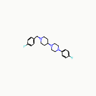 Fc1ccc(CN2CCC(N3CCN(c4ccc(F)cc4)CC3)CC2)cc1